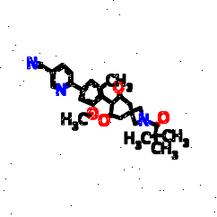 COc1cc(-c2ccc(C#N)cn2)cc(C)c1C1C(=O)CC2(CC1=O)CN(C(=O)C(C)(C)C)C2